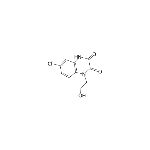 O=c1[nH]c2cc(Cl)ccc2n(CCO)c1=O